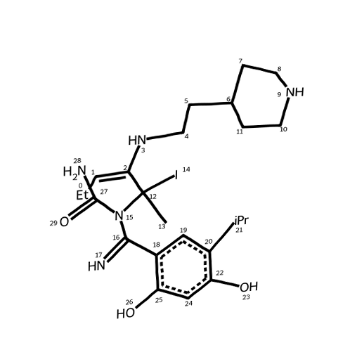 CC/C=C(/NCCC1CCNCC1)C(C)(I)N(C(=N)c1cc(C(C)C)c(O)cc1O)C(N)=O